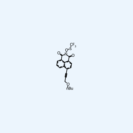 CCCCOCC#Cc1ccc2c3c(cccc13)C(=O)N(OSC(F)(F)F)C2=O